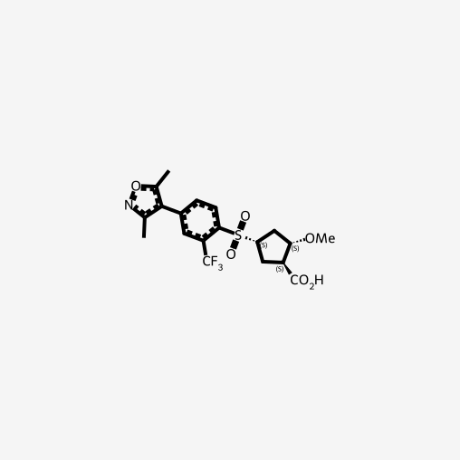 CO[C@H]1C[C@@H](S(=O)(=O)c2ccc(-c3c(C)noc3C)cc2C(F)(F)F)C[C@@H]1C(=O)O